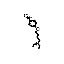 [C-]#[N+]c1ccc(OCCCCN(CC)CC)cc1